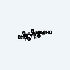 CCC1CC(=O)N(CCC(=O)NCC(=O)NCC=O)C1=O